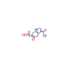 CN1CCN(C(=O)C2CCC2)CC12CCC(=O)N(CC(=O)O)CC2